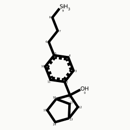 OC1(c2ccc(CCC[SiH3])cc2)CC2CCC1C2